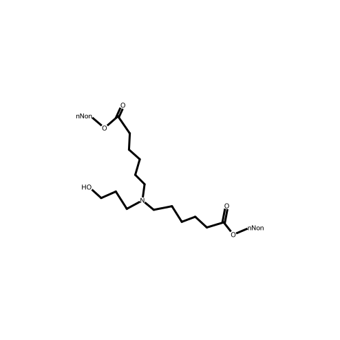 CCCCCCCCCOC(=O)CCCCCN(CCCO)CCCCCC(=O)OCCCCCCCCC